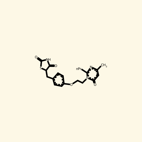 CCCc1nc(C)cc(=O)n1CCOc1ccc(CC2SC(=O)NC2=O)cc1